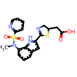 CN(c1cccc2cc(C3=NCC(CC(=O)O)S3)[nH]c12)S(=O)(=O)c1ccccn1